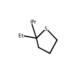 CCC1(C(C)C)CCCS1